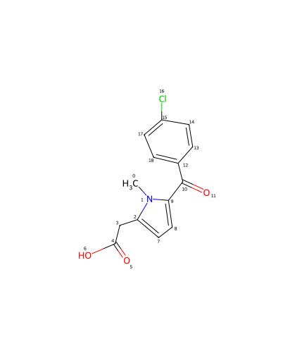 Cn1c(CC(=O)O)ccc1C(=O)c1ccc(Cl)cc1